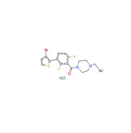 CC(=O)CN1CCN(C(=O)c2c(F)ccc(-c3sccc3Br)c2F)CC1.Cl